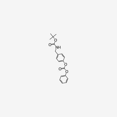 CC(C)(C)OC(=O)NCc1ccc(OC(=O)Oc2ccccc2)cc1